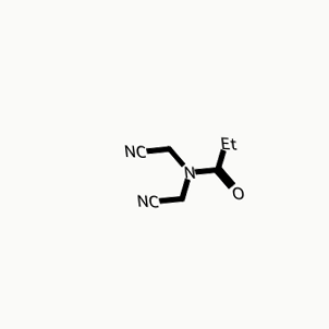 CCC(=O)N(CC#N)CC#N